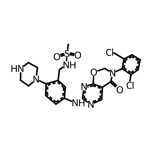 CS(=O)(=O)NCc1cc(Nc2ncc3c(n2)OCN(c2c(Cl)cccc2Cl)C3=O)ccc1N1CCNCC1